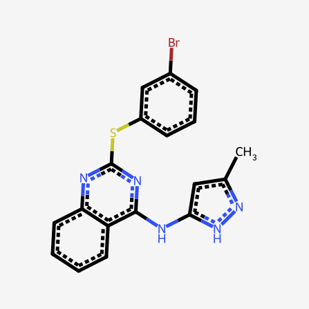 Cc1cc(Nc2nc(Sc3cccc(Br)c3)nc3ccccc23)[nH]n1